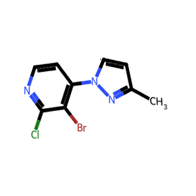 Cc1c[c]n(-c2ccnc(Cl)c2Br)n1